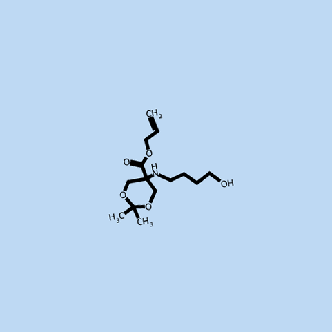 C=CCOC(=O)C1(NCCCCO)COC(C)(C)OC1